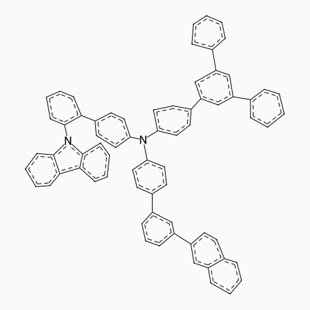 c1ccc(-c2cc(-c3ccccc3)cc(-c3ccc(N(c4ccc(-c5cccc(-c6ccc7ccccc7c6)c5)cc4)c4ccc(-c5ccccc5-n5c6ccccc6c6ccccc65)cc4)cc3)c2)cc1